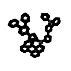 c1ccc(-c2ccc(-c3cc4c(N(c5cccc(-c6ccc7c(c6)c6ccccc6n7-c6ccccc6)c5)c5ccccc5-c5cccc6cccc(-c7ccccc7)c56)c-4c3)cc2-c2ccccc2)cc1